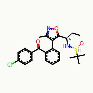 CC[C@H](N[S@@+]([O-])C(C)(C)C)c1onc(C)c1-c1ccccc1C(=O)c1ccc(Cl)cc1